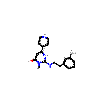 COc1cccc(CCNc2nc(-c3ccncc3)cc(=O)n2C)c1